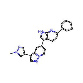 Cn1cc(-c2cnn3ccc(-c4c[nH]c5nc(-c6ccccc6)ccc45)cc23)cn1